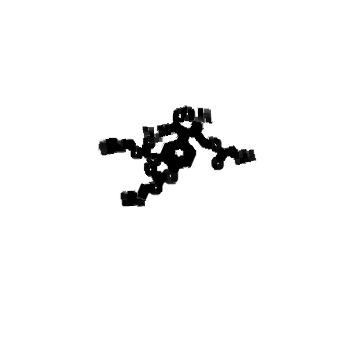 CC(COC(=O)CC(C)(C)C)C(c1ccc(OC(=O)OCC(C)(C)C)c(OC(=O)OCC(C)(C)C)c1)[C@H](N)C(=O)O